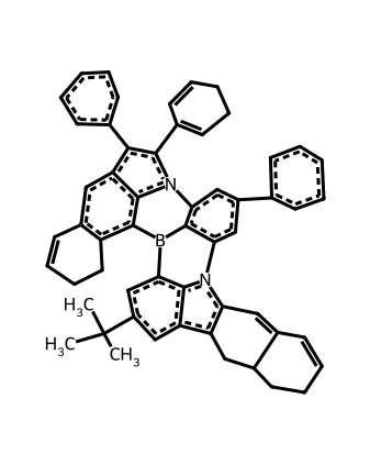 CC(C)(C)c1cc2c3c(c1)c1c(n3-c3cc(-c4ccccc4)cc4c3B2c2c3c(cc5c(-c6ccccc6)c(C6=CCCC=C6)n-4c25)C=CCC3)C=C2C=CCCC2C1